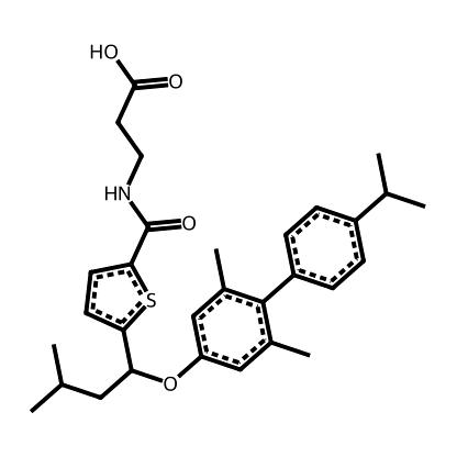 Cc1cc(OC(CC(C)C)c2ccc(C(=O)NCCC(=O)O)s2)cc(C)c1-c1ccc(C(C)C)cc1